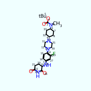 CN(C(=O)OC(C)(C)C)[C@H]1CC[C@H](N2CCN(c3ccc(NC4CCC(=O)NC4=O)cc3F)CC2)CC1